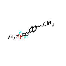 CCCCCC1CCC2CC(c3cc(F)c4c(F)c(C(=O)OC)c(F)cc4c3)CCC2C1